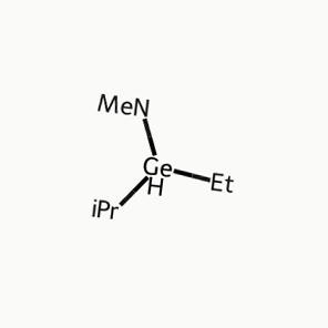 C[CH2][GeH]([NH]C)[CH](C)C